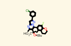 Cc1nc2cc(-c3cccc(Cl)c3)nn2c(-c2cc(F)c3c(c2C)CCCO3)c1[C@](C)(OC(C)(C)C)C(=O)O